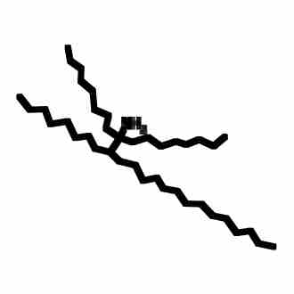 CCCCCCCCCCCCCCC(CCCCCCCC)C(N)(CCCCCCCC)CCCCCCCC